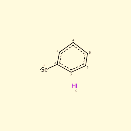 I.[Se]c1ccccc1